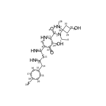 CCN(C(=O)c1[nH]cc(C(=N)SC(=N)Cc2ccc(F)cc2)c(=O)c1O)C1(NC)CC(O)C1